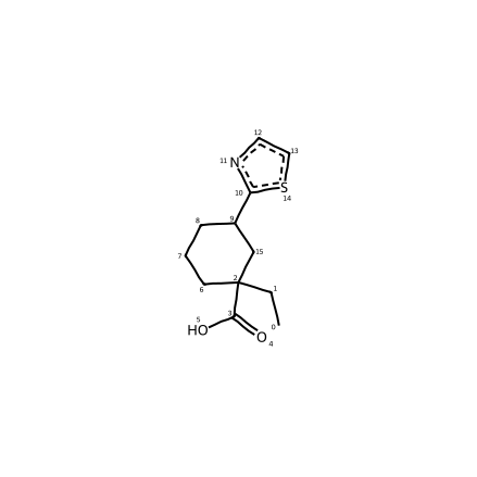 CCC1(C(=O)O)CCCC(c2nccs2)C1